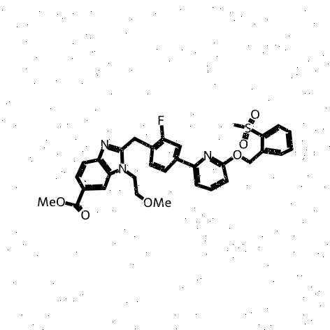 COCCn1c(Cc2ccc(-c3cccc(OCc4ccccc4S(C)(=O)=O)n3)cc2F)nc2ccc(C(=O)OC)cc21